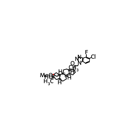 COCC[C@]12CC[C@@](C)(O)C[C@@H]1CC[C@H]1[C@@H]3CC[C@H](C(=O)Cn4nnc5c(F)c(Cl)ccc54)[C@@]3(C)CC[C@@H]12